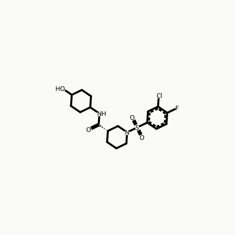 O=C(NC1CCC(O)CC1)[C@H]1CCCN(S(=O)(=O)c2ccc(F)c(Cl)c2)C1